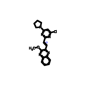 COc1nc2ccccc2nc1/C=C/c1nc(Cl)cc(N2CCCC2)n1